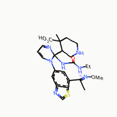 CCNC(=O)NC1(C2CNCCC2(C)C(=O)O)N=CC=CN1c1cc(/C(C)=N/OC)c2scnc2c1